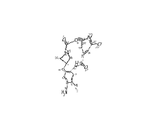 CC(C)COC(=O)N1CC(Oc2nc(N)c(Cl)cc2NC(=O)c2ccnc(Cl)c2)C1